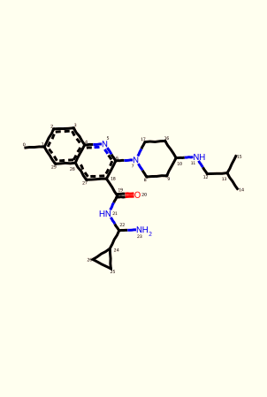 Cc1ccc2nc(N3CCC(NCC(C)C)CC3)c(C(=O)NC(N)C3CC3)cc2c1